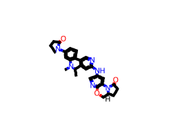 CC1c2cc(Nc3cnc4c(c3)N3C(=O)CC[C@H]3CO4)ncc2-c2ccc(N3CCCC3=O)cc2N1C